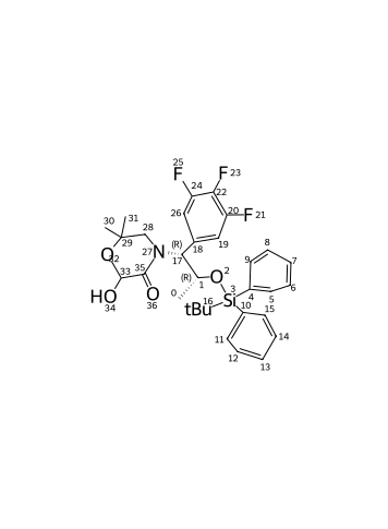 C[C@@H](O[Si](c1ccccc1)(c1ccccc1)C(C)(C)C)[C@@H](c1cc(F)c(F)c(F)c1)N1CC(C)(C)OC(O)C1=O